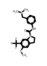 CSc1cc2c(cc1C(F)(F)F)N(C(=O)Nc1cccc(CN(C)C)c1)CC2